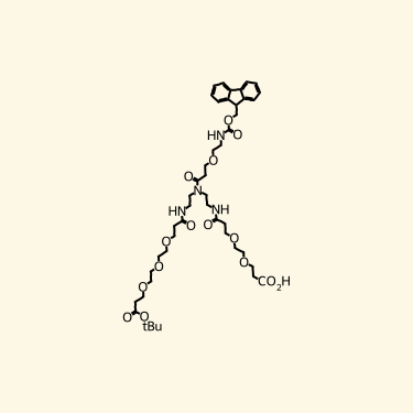 CC(C)(C)OC(=O)CCOCCOCCOCCC(=O)NCCN(CCNC(=O)CCOCCOCCC(=O)O)C(=O)CCOCCNC(=O)OCC1c2ccccc2-c2ccccc21